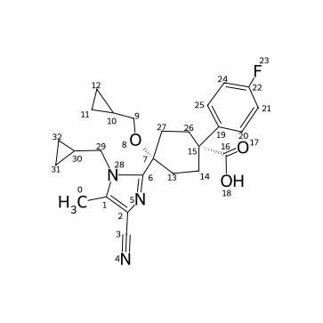 Cc1c(C#N)nc([C@]2(OCC3CC3)CC[C@](C(=O)O)(c3ccc(F)cc3)CC2)n1CC1CC1